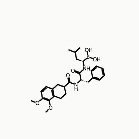 COc1ccc2c(c1OC)CCC(C(=O)N[C@@H](Cc1ccccc1)C(=O)N[C@@H](CC(C)C)B(O)O)C2